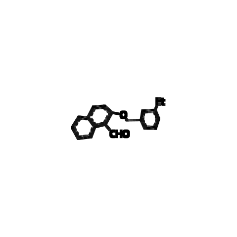 CCc1cccc(COc2ccc3ccccc3c2C=O)c1